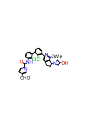 COc1nc(-c2cccc(-c3cccc(NC(=O)c4ccc(C=O)cn4)c3Cl)c2Cl)cc2c1C(N1CC(O)C1)CC2